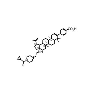 C=C(C)[C@@H]1CC[C@]2(NCCN3CCN(C(=O)C4CC4)CC3)CC[C@]3(C)C(CCC4[C@@]5(C)CC=C(c6ccc(C(=O)O)cc6)C(C)(C)C5CC[C@]43C)C12